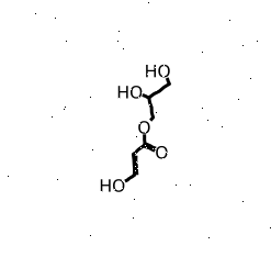 O=C(C=CO)OCC(O)CO